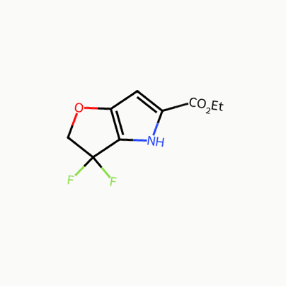 CCOC(=O)c1cc2c([nH]1)C(F)(F)CO2